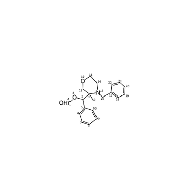 CC1(C(OC=O)c2ccccc2)COCCN1Cc1ccccc1